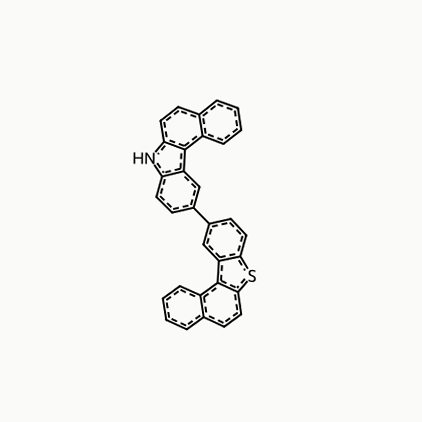 c1ccc2c(c1)ccc1[nH]c3ccc(-c4ccc5sc6ccc7ccccc7c6c5c4)cc3c12